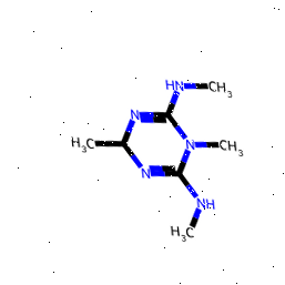 CNC1=NC(C)N=C(NC)N1C